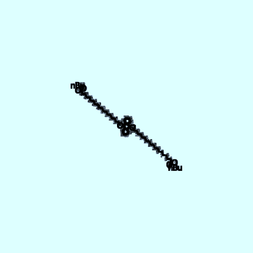 CCCCOC(=O)C=CCCCCCCCCCCCCCCCCOc1c2ccccc2c(OCCCCCCCCCCCCCCCCC=CC(=O)OCCCC)c2ccccc12